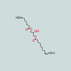 CCCCCCCC/C=C\CCCCCCCC(=O)OC[C@@H](O)COC(=O)CCCCCCCCCCCCCCC